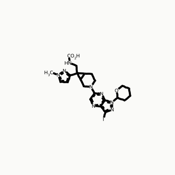 Cn1ccc(C2(CNC(=O)O)C3CCN(c4cnc5c(I)nn(C6CCCCO6)c5n4)CC32)n1